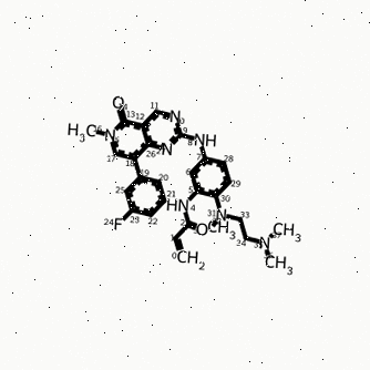 C=CC(=O)Nc1cc(Nc2ncc3c(=O)n(C)cc(-c4cccc(F)c4)c3n2)ccc1N(C)CCN(C)C